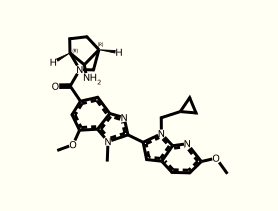 COc1ccc2cc(-c3nc4cc(C(=O)N5C[C@H]6CC[C@@H]5C6N)cc(OC)c4n3C)n(CC3CC3)c2n1